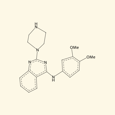 COc1ccc(Nc2nc(N3CCNCC3)nc3ccccc23)cc1OC